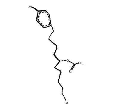 CC(=O)OC(CCCCCBr)CCCCc1ccc(Cl)cc1